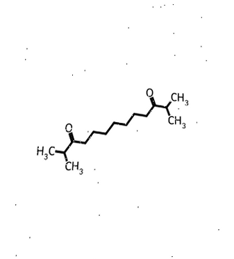 CC(C)C(=O)CCCCCCCC(=O)C(C)C